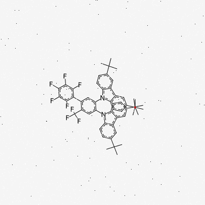 CC(C)(C)c1ccc2c(c1)c1cc(C(C)(C)C)ccc1n2-c1cc(-c2c(F)c(F)c(F)c(F)c2F)c(C(F)(F)F)cc1-n1c2ccc(C(C)(C)C)cc2c2cc(C(C)(C)C)ccc21